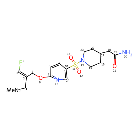 CNC/C(=C/F)COc1ccc(S(=O)(=O)N2CCC(CC(N)=O)CC2)cn1